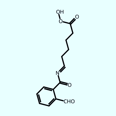 O=Cc1ccccc1C(=O)N=CCCCCC(=O)OO